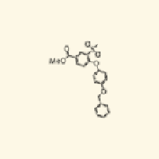 COC(=O)c1ccc(Oc2ccc(OCc3ccccc3)cc2)c(S(C)(=O)=O)c1